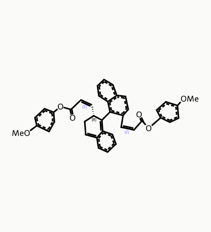 COc1ccc(OC(=O)/C=C\c2ccc3ccccc3c2C2=c3ccccc3=CC[C@@H]2/C=C\C(=O)Oc2ccc(OC)cc2)cc1